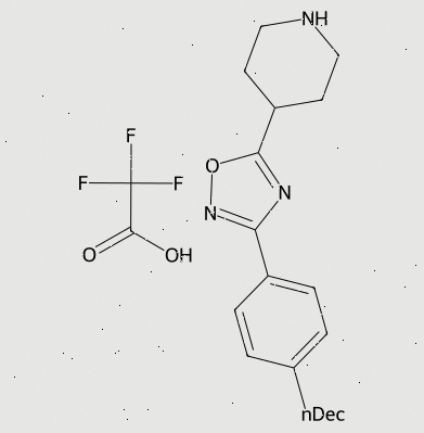 CCCCCCCCCCc1ccc(-c2noc(C3CCNCC3)n2)cc1.O=C(O)C(F)(F)F